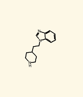 c1ccc2c(c1)ncn2CCC1CCNCC1